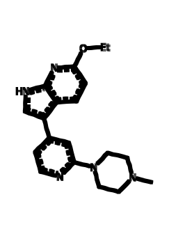 CCOc1ccc2c(-c3ccnc(N4CCN(C)CC4)c3)c[nH]c2n1